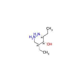 CC[C@H](CN)[C@@H](O)[C@H](N)CC